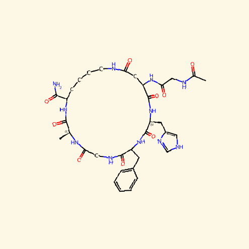 CC(=O)NCC(=O)NC1CC(=O)NCCCCC(C(N)=O)NC(=O)[C@H](C)NC(=O)CNC(=O)C(Cc2ccccc2)NC(=O)[C@H](Cc2c[nH]cn2)NC1=O